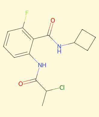 CC(Cl)C(=O)Nc1cccc(F)c1C(=O)NC1CCC1